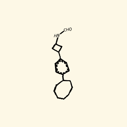 O=CNC1CC(c2ccc(C3CCCCCCC3)cc2)C1